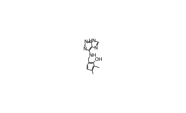 Cc1ccc(CNc2ncnc3[nH]cnc23)c(O)c1C